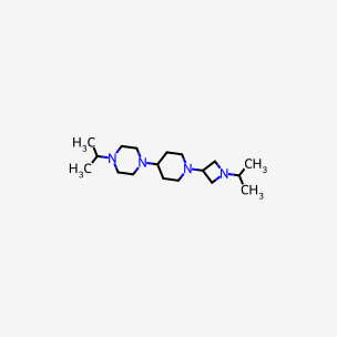 CC(C)N1CCN(C2CCN(C3CN(C(C)C)C3)CC2)CC1